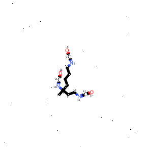 CC(CCCCN=C=O)(CCN=C=O)N=C=O